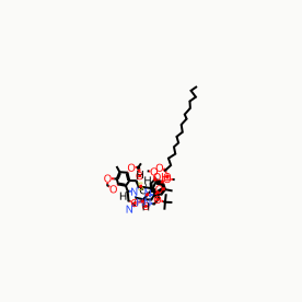 CCCCCCCCCCCCCCCC(=O)Oc1cc2c(cc1OC)[C@@]1(CS[C@@H]3c4c(OC(C)=O)c(C)c5c(c4[C@H](COC1=O)N1C3[C@H]3c4c(cc(C)c(OC)c4O)C[C@@H]([C@@H]1C#N)N3C(=O)OC(C)(C)C)OCO5)NCC2